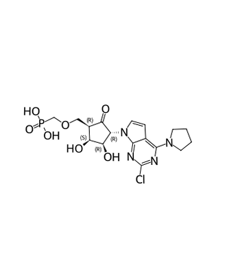 O=C1[C@H](COCP(=O)(O)O)[C@H](O)[C@H](O)[C@H]1n1ccc2c(N3CCCC3)nc(Cl)nc21